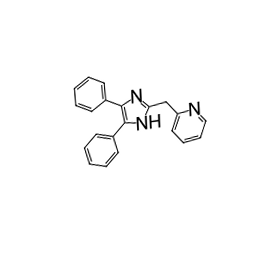 c1ccc(-c2nc(Cc3ccccn3)[nH]c2-c2ccccc2)cc1